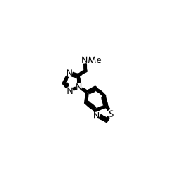 CNCc1ncnn1-c1ccc2scnc2c1